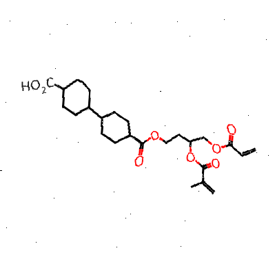 C=CC(=O)OCC(CCOC(=O)C1CCC(C2CCC(C(=O)O)CC2)CC1)OC(=O)C(=C)C